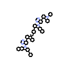 CC1(Cc2ccc(-c3cccc4c3c3cc5ccccc5cc3n4-c3ccc(-c4cccc5c4c4ccccc4n5-c4ccccc4)c4nccnc34)cc2)c2ccccc2-c2c(-c3ccc(-n4c5ccc(-c6ccccc6)cc5c5cc6ccccc6cc54)c4nccnc34)cccc21